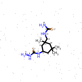 CC1(C)CC(NC(=S)NN)CC(C)(CNC(N)=S)C1